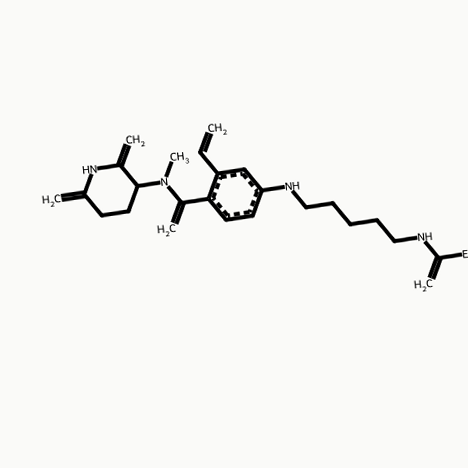 C=Cc1cc(NCCCCCNC(=C)CC)ccc1C(=C)N(C)C1CCC(=C)NC1=C